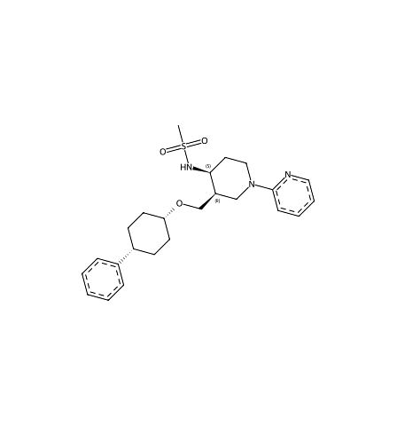 CS(=O)(=O)N[C@H]1CCN(c2ccccn2)C[C@H]1CO[C@H]1CC[C@@H](c2ccccc2)CC1